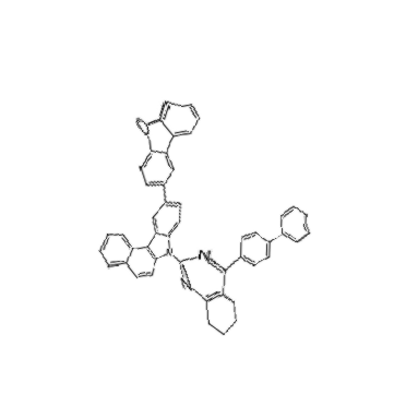 c1ccc(-c2ccc(-c3nc(-n4c5ccc(-c6ccc7oc8ccccc8c7c6)cc5c5c6ccccc6ccc54)nc4c3CCCC4)cc2)cc1